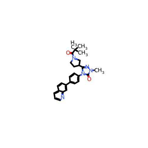 Cn1nc(C2CCN(C(=O)C(C)(C)C)C2)n(-c2ccc(-c3ccc4cccnc4c3)cc2)c1=O